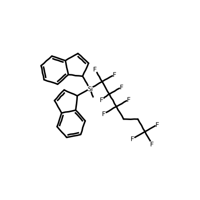 C[Si](C1C=Cc2ccccc21)(C1C=Cc2ccccc21)C(F)(F)C(F)(F)C(F)(F)CCC(F)(F)F